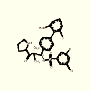 COc1cccc(F)c1-c1ccc([C@@H](NS(=O)(=O)c2cc(Cl)cc(Cl)c2)[C@](C)(C(=O)O)C(=O)C2CCCN2)cc1